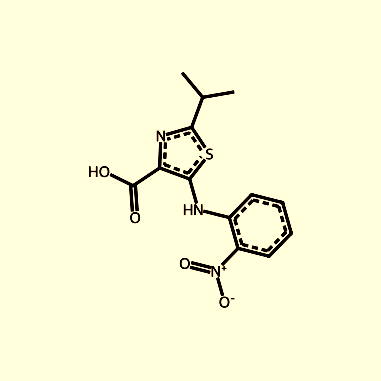 CC(C)c1nc(C(=O)O)c(Nc2ccccc2[N+](=O)[O-])s1